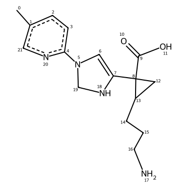 Cc1ccc(N2C=C(C3(C(=O)O)CC3CCCN)NC2)nc1